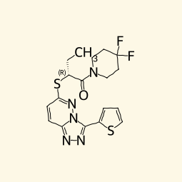 CC[C@@H](Sc1ccc2nnc(-c3cccs3)n2n1)C(=O)N1CCC(F)(F)CC1